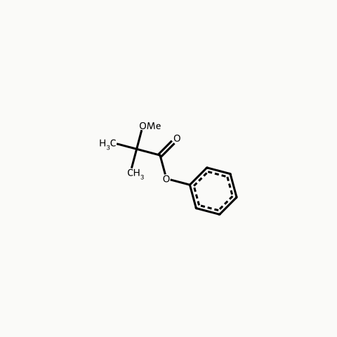 COC(C)(C)C(=O)Oc1ccccc1